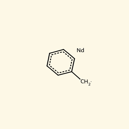 [CH2]c1ccccc1.[Nd]